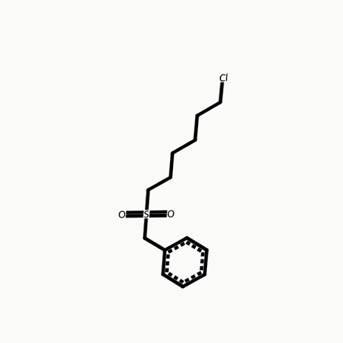 O=S(=O)(CCCCCCCl)Cc1ccccc1